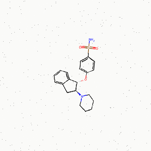 NS(=O)(=O)c1ccc(O[C@H]2c3ccccc3C[C@@H]2N2CCCCC2)cc1